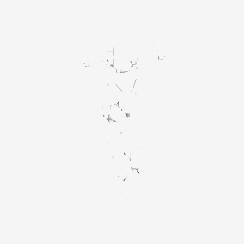 CC(C)(C)OC(=O)N1CCC(c2noc(-c3ccc(OC4COC4)c(NC4COC4)c3)n2)CC1